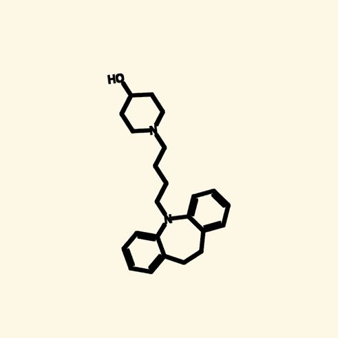 OC1CCN(CCCCN2c3ccccc3CCc3ccccc32)CC1